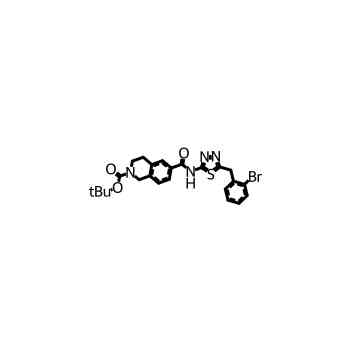 CC(C)(C)OC(=O)N1CCc2cc(C(=O)Nc3nnc(Cc4ccccc4Br)s3)ccc2C1